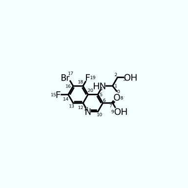 CC(CO)Nc1c(C(=O)O)cnc2cc(F)c(Br)c(F)c12